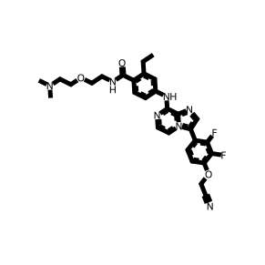 CCc1cc(Nc2nccn3c(-c4ccc(OCC#N)c(F)c4F)cnc23)ccc1C(=O)NCCOCCN(C)C